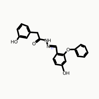 O=C(Cc1cccc(O)c1)N/N=C/c1ccc(O)cc1Oc1ccccc1